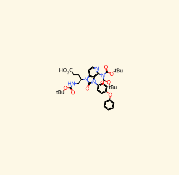 CC(C)(C)OC(=O)NC[C@@H](CCC(=O)O)n1c(=O)n(-c2ccc(Oc3ccccc3)cc2)c2c(N(C(=O)OC(C)(C)C)C(=O)OC(C)(C)C)nccc21